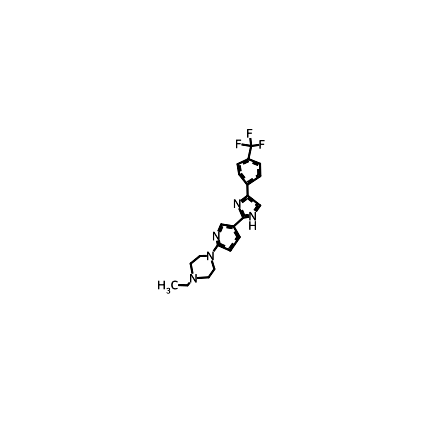 CCN1CCN(c2ccc(-c3nc(-c4ccc(C(F)(F)F)cc4)c[nH]3)cn2)CC1